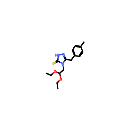 CCOC(Cn1c(Cc2ccc(C)cc2)n[nH]c1=S)OCC